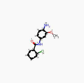 COc1cc(NC(=O)c2ccccc2Cl)ccc1N